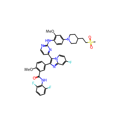 COc1cc(N2CCC(CCS(C)(=O)=O)CC2)ccc1Nc1nccc(-c2c(-c3ccc(OC)c(C(=O)Nc4c(F)cccc4F)c3)nc3cc(F)ccn23)n1